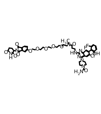 CN(CCOCCOCCOCCOCCOc1ccc2c(c1)C(=O)N(C1CCC(=O)NC1=O)C2=O)C(=O)CCNc1nc(N2CCN(C(N)=O)CC2)c2cc(Cl)c(-c3c(O)cccc3F)c(F)c2n1